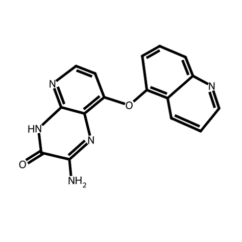 Nc1nc2c(Oc3cccc4ncccc34)ccnc2[nH]c1=O